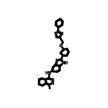 Cc1nnc(Nc2ccc3[nH]c(-c4cccc(OCc5cnn(-c6ccccc6)n5)c4)nc3c2)c2ccccc12